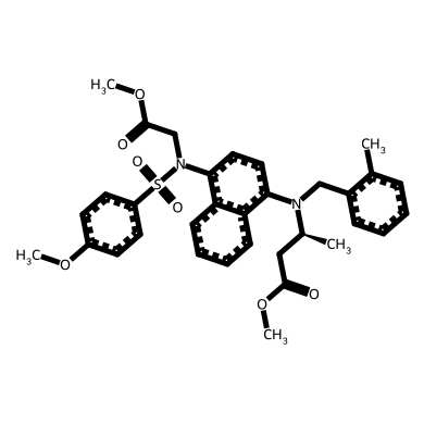 COC(=O)C[C@H](C)N(Cc1ccccc1C)c1ccc(N(CC(=O)OC)S(=O)(=O)c2ccc(OC)cc2)c2ccccc12